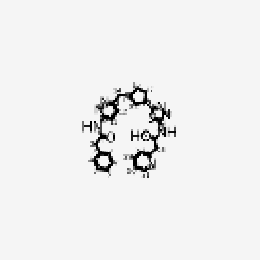 O=C(Cc1ccccc1)Nc1ccc(C[C@H]2CC[C@@H](c3nnc(NC(O)Cc4ccccn4)s3)C2)nn1